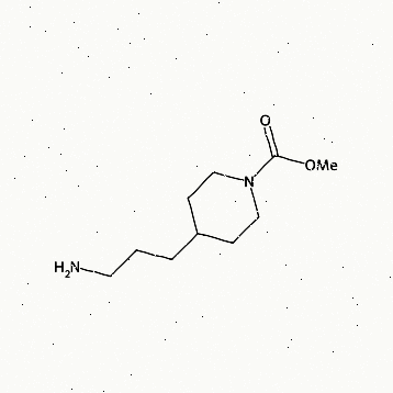 COC(=O)N1CCC(CCCN)CC1